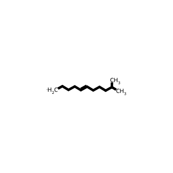 [CH2]CCCC=CCCC[C](C)C